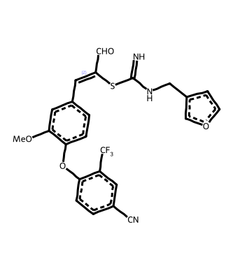 COc1cc(/C=C(/C=O)SC(=N)NCc2ccoc2)ccc1Oc1ccc(C#N)cc1C(F)(F)F